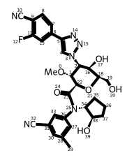 CO[C@@H]1[C@@H](n2cc(-c3ccc(C#N)c(F)c3)nn2)[C@@H](O)[C@@H](CO)O[C@H]1C(=O)N(c1cc(C)cc(C#N)c1)[C@@H]1CCC[C@H]1O